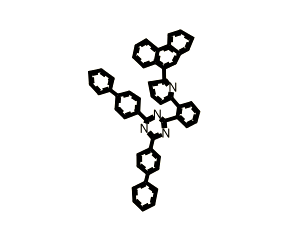 c1ccc(-c2ccc(-c3nc(-c4ccc(-c5ccccc5)cc4)nc(-c4ccccc4-c4cccc(-c5cc6ccccc6c6ccccc56)n4)n3)cc2)cc1